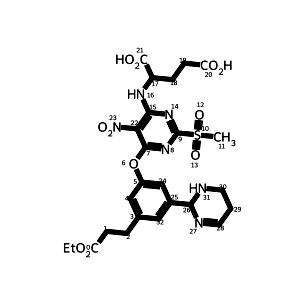 CCOC(=O)CCc1cc(Oc2nc(S(C)(=O)=O)nc(NC(CCC(=O)O)C(=O)O)c2[N+](=O)[O-])cc(C2N=CCCN2)c1